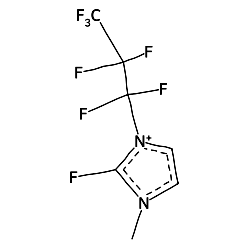 Cn1cc[n+](C(F)(F)C(F)(F)C(F)(F)F)c1F